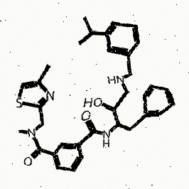 Cc1csc(CN(C)C(=O)c2cccc(C(=O)NC(Cc3ccccc3)C(O)CNCc3cccc(C(C)C)c3)c2)n1